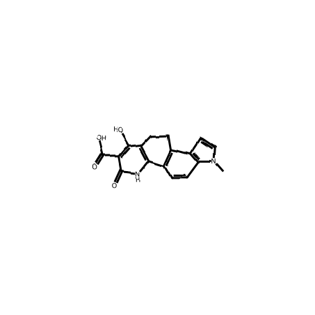 Cn1ccc2c3c(ccc21)-c1[nH]c(=O)c(C(=O)O)c(O)c1CC3